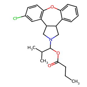 CCCC(=O)OC(C(C)C)N1CC2c3ccccc3Oc3ccc(Cl)cc3C2C1